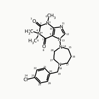 CN1C(=O)[N+](C)(C)C(=O)c2c1ncn2N1CCCN(Cc2ccc(Cl)cc2)CC1